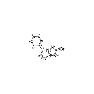 Brc1nn2c(-c3ccccc3)cnc2s1